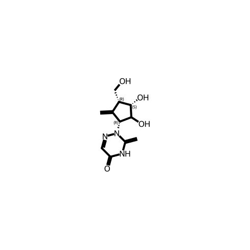 C=C1[C@@H](N2N=CC(=O)NC2=C)C(O)[C@@H](O)[C@H]1CO